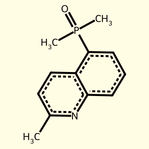 Cc1ccc2c(P(C)(C)=O)cccc2n1